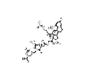 CC(=O)NC(CC(=O)OCC(=O)[C@@]1(OC(=O)CCCO[N+](=O)[O-])[C@@H](C)CC2C3CCC4=CC(=O)C=C[C@]4(C)[C@@]3(F)[C@@H](O)C[C@@]21C)C(=O)OCC(CO[N+](=O)[O-])O[N+](=O)[O-]